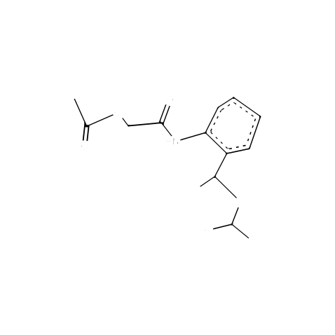 CC(=O)OCC(=O)Nc1ccccc1C(C)SC(C)O